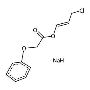 O=C(COc1ccccc1)OC=CCCl.[NaH]